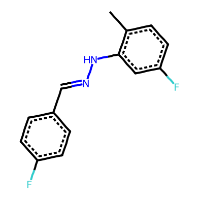 Cc1ccc(F)cc1NN=Cc1ccc(F)cc1